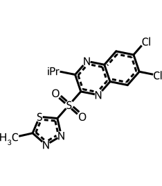 Cc1nnc(S(=O)(=O)c2nc3cc(Cl)c(Cl)cc3nc2C(C)C)s1